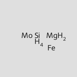 [Fe].[MgH2].[Mo].[SiH4]